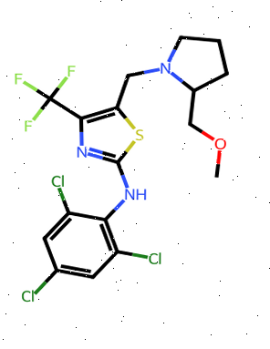 COCC1CCCN1Cc1sc(Nc2c(Cl)cc(Cl)cc2Cl)nc1C(F)(F)F